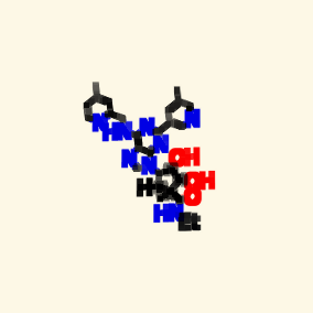 CCNC(=O)[C@@]12C[C@@H]1C(n1cnc3c(NCc4cc(C)ccn4)nc(-c4cncc(C)c4)nc31)[C@H](O)[C@@H]2O